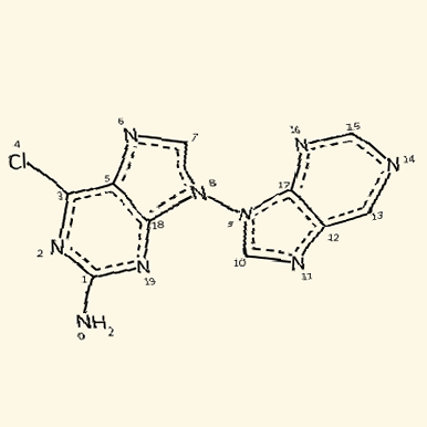 Nc1nc(Cl)c2ncn(-n3cnc4cncnc43)c2n1